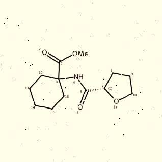 COC(=O)C1(NC(=O)[C@@H]2CCCO2)CCCCC1